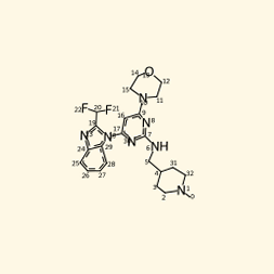 CN1CCC(CNc2nc(N3CCOCC3)cc(-n3c(C(F)F)nc4ccccc43)n2)CC1